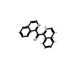 O=C(c1nccc2ccccc12)c1nccc2ccccc12